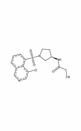 N#CCC(=O)N[C@@H]1CCN(S(=O)(=O)c2cccc3cncc(Cl)c23)C1